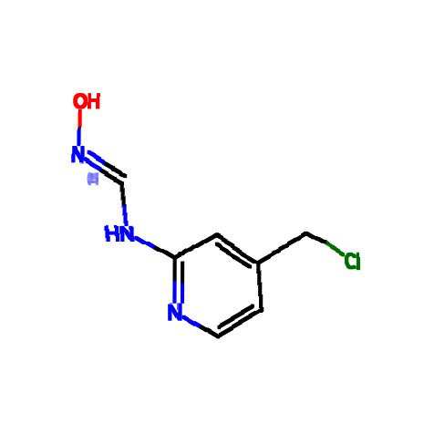 O/N=C/Nc1cc(CCl)ccn1